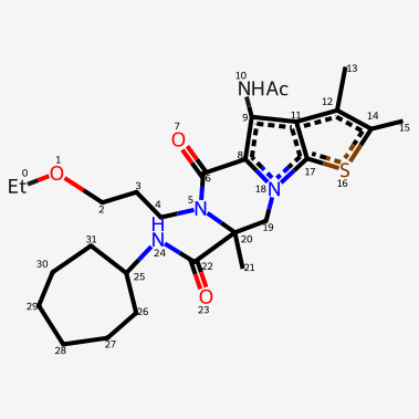 CCOCCCN1C(=O)c2c(NC(C)=O)c3c(C)c(C)sc3n2CC1(C)C(=O)NC1CCCCCC1